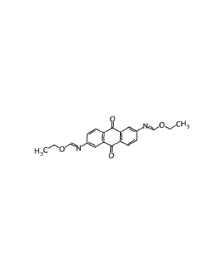 CCOC=Nc1ccc2c(c1)C(=O)c1ccc(N=COCC)cc1C2=O